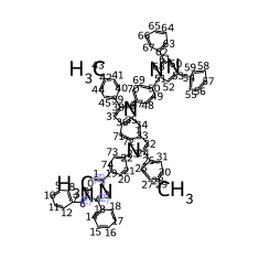 C\C=C(/N=C(\N=C\c1ccccc1)c1ccccc1)c1ccc(-n2c(-c3ccc(C)cc3)cc3cc4c(cc(-c5ccc(C)cc5)n4-c4ccc(-c5cc(-c6ccccc6)nc(-c6ccccc6)n5)cc4)cc32)cc1